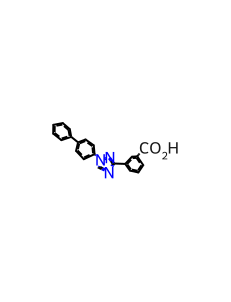 O=C(O)c1cccc(-c2ncn(-c3ccc(-c4ccccc4)cc3)n2)c1